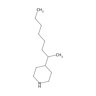 CCCCCCC(C)C1CCNCC1